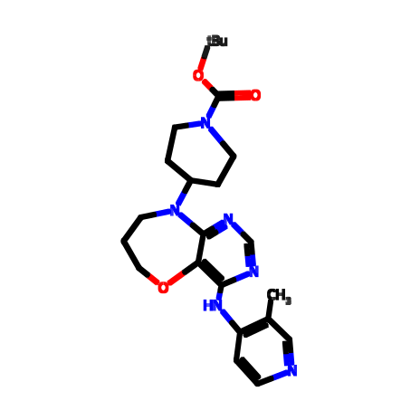 Cc1cnccc1Nc1ncnc2c1OCCCN2C1CCN(C(=O)OC(C)(C)C)CC1